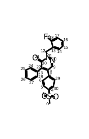 CS(=O)(=O)c1ccc(-c2cnn(Cc3ccccc3F)c(=O)c2-c2ccccc2)cc1